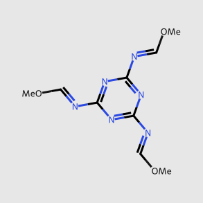 COC=Nc1nc(N=COC)nc(N=COC)n1